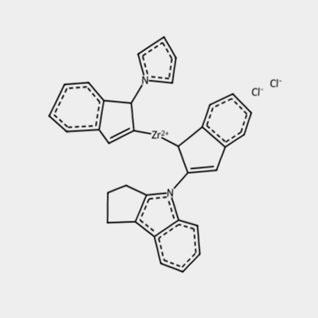 C1=[C]([Zr+2][CH]2C(n3c4c(c5ccccc53)CCC4)=Cc3ccccc32)C(n2cccc2)c2ccccc21.[Cl-].[Cl-]